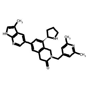 Cc1cc(CN2Cc3c(cc(-c4cnc5[nH]cc(C)c5c4)cc3[C@@H]3CCCN3)CC2=O)cc(C)n1